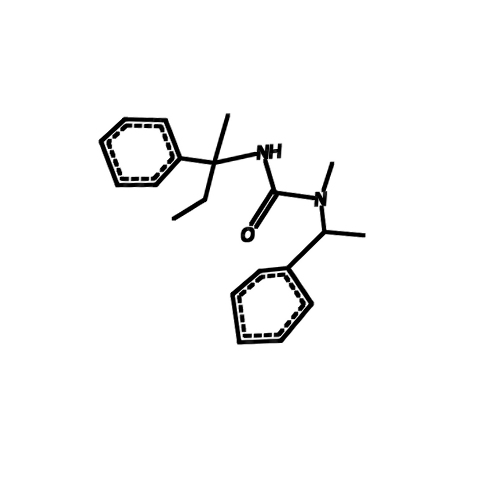 CCC(C)(NC(=O)N(C)C(C)c1ccccc1)c1ccccc1